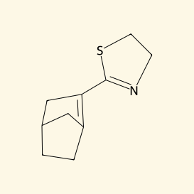 C1CSC(C2=C3CCC(C3)C2)=N1